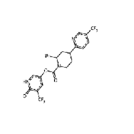 CC(C)C1CC(c2ccc(C(F)(F)F)cn2)CCN1C(=O)Oc1c[nH]c(=O)c(C(F)(F)F)c1